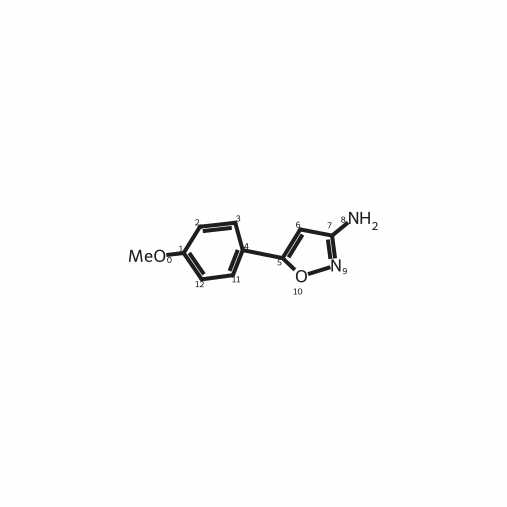 COc1ccc(-c2cc(N)no2)cc1